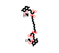 CCC(C)(C)C(=O)OC1CC(C)C=C2C=CC(C)C(CCC3CC(OC(=O)CCCCCCCCCCC(=O)OC4CC(=O)OC(CCC5C(C)C=CC6=CC(C)CC(OC(=O)C(C)(C)CC)C65)C4)CC(=O)O3)C21